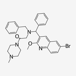 COc1nc2ccc(Br)cc2cc1C(c1ccccc1)N(CC(=O)N1CCN(C)CC1)Cc1ccccc1